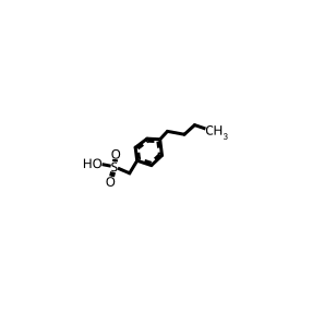 CCCCc1ccc(CS(=O)(=O)O)cc1